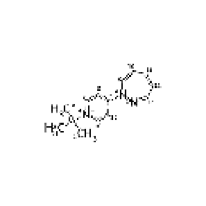 CC(C)(C)[n+]1ccc(N2C=CC=CC=N2)cc1